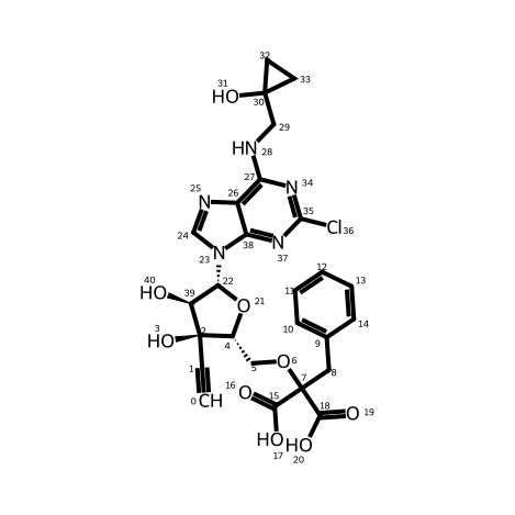 C#C[C@@]1(O)[C@@H](COC(Cc2ccccc2)(C(=O)O)C(=O)O)O[C@@H](n2cnc3c(NCC4(O)CC4)nc(Cl)nc32)[C@@H]1O